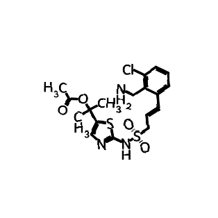 CC(=O)OC(C)(C)c1cnc(NS(=O)(=O)CC=Cc2cccc(Cl)c2CN)s1